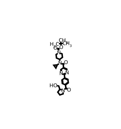 CC(C)(C)OC(=O)N1CCC(N(C(=O)c2cnc(-c3ccc(C(=O)N4CCCC4CO)cc3)nc2)C2CC2)CC1